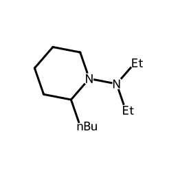 CCCCC1CCCCN1N(CC)CC